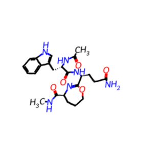 CNC(=O)[C@@H]1CCCOC([C@H](CCC(N)=O)NC(=O)[C@H](Cc2c[nH]c3ccccc23)NC(C)=O)=N1